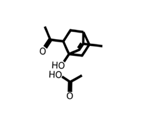 CC(=O)C1CC2CCC1(O)C=C2C.CC(=O)O